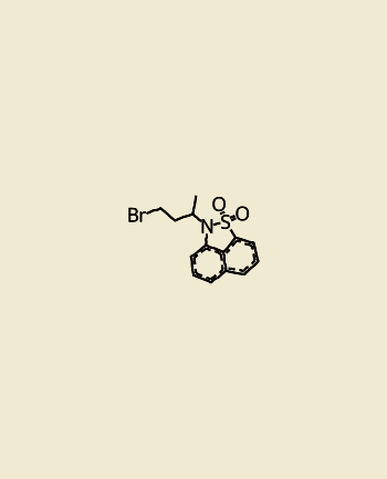 CC(CCBr)N1c2cccc3cccc(c23)S1(=O)=O